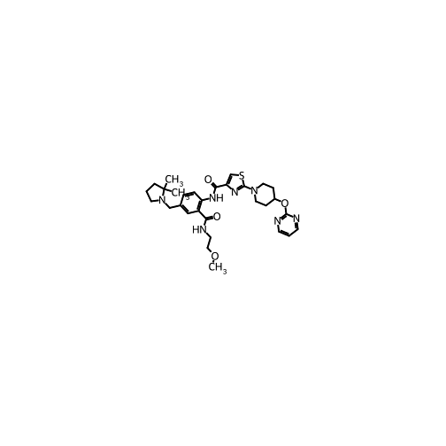 COCCNC(=O)c1cc(CN2CCCC2(C)C)ccc1NC(=O)c1csc(N2CCC(Oc3ncccn3)CC2)n1